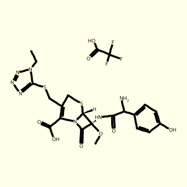 CCn1nnnc1SCC1=C(C(=O)O)N2C(=O)[C@](NC(=O)C(N)c3ccc(O)cc3)(OC)[C@H]2SC1.O=C(O)C(F)(F)F